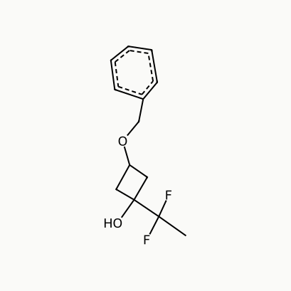 CC(F)(F)C1(O)CC(OCc2ccccc2)C1